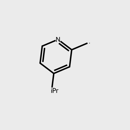 [CH2]c1cc(C(C)C)ccn1